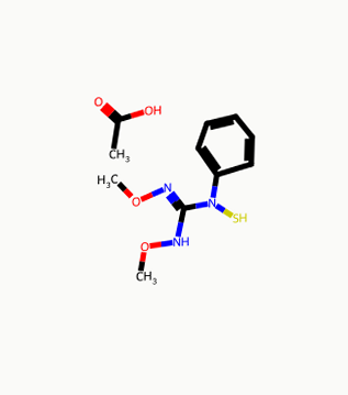 CC(=O)O.CON=C(NOC)N(S)c1ccccc1